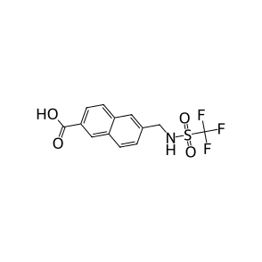 O=C(O)c1ccc2cc(CNS(=O)(=O)C(F)(F)F)ccc2c1